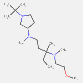 CCC(C)(CCN(C)[C@@H]1CCN(C(C)(C)C)C1)N(C)CCOC